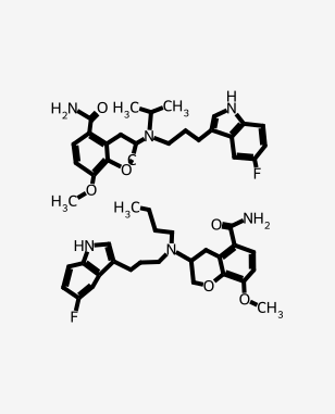 CCCCN(CCCc1c[nH]c2ccc(F)cc12)C1COc2c(OC)ccc(C(N)=O)c2C1.COc1ccc(C(N)=O)c2c1OCC(N(CCCc1c[nH]c3ccc(F)cc13)C(C)C)C2